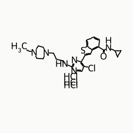 CCN1CCN(CCCNc2ncc(Cl)c(-c3cc4c(C(=O)NC5CC5)cccc4s3)n2)CC1.Cl.Cl.Cl